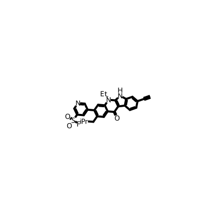 C#Cc1ccc2c(c1)[nH]c1c2c(=O)c2cc(CC(C)C)c(-c3cncc(S(=O)(=O)F)c3)cc2n1CC